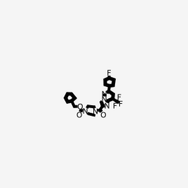 O=C(OCc1ccccc1)N1CCN(C(=O)c2cn3nc(-c4ccc(F)cc4)cc(C(F)(F)F)c3n2)CC1